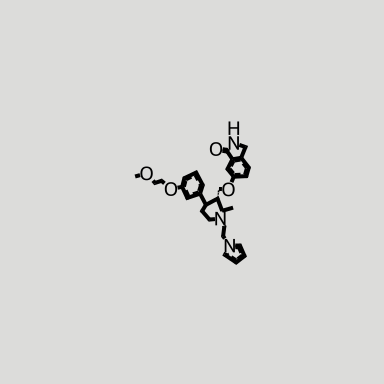 COCCOc1cccc(C2CCN(CCn3cccc3)C(C)[C@H]2COc2ccc3c(c2)C(=O)NC3)c1